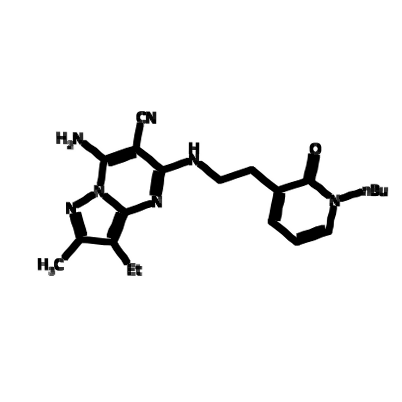 CCCCn1cccc(CCNc2nc3c(CC)c(C)nn3c(N)c2C#N)c1=O